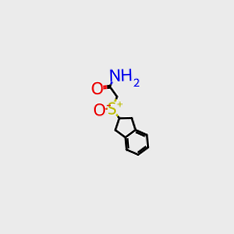 NC(=O)C[S+]([O-])C1Cc2ccccc2C1